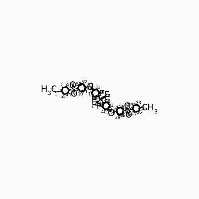 CCc1ccc(S(=O)(=O)c2ccc(Oc3ccc(C(c4ccc(Oc5ccc(S(=O)(=O)c6ccc(C)cc6)cc5)cc4)(C(F)(F)F)C(F)(F)F)cc3)cc2)cc1